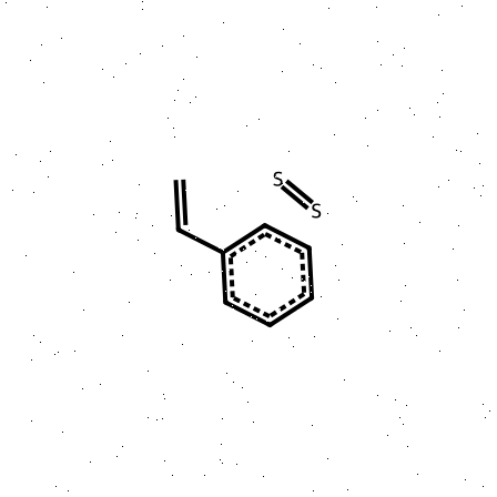 C=Cc1ccccc1.S=S